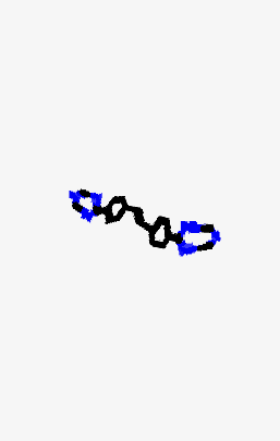 C(=Cc1ccc(-c2ncncn2)cc1)c1ccc(-c2ncncn2)cc1